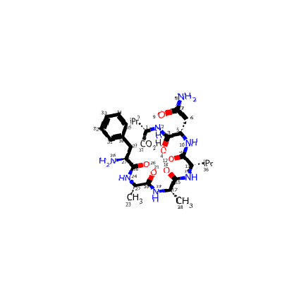 CC(C)[C@H](NC(=O)[C@H](CC(N)=O)NC(=O)[C@@H](NC(=O)[C@H](C)NC(=O)[C@H](C)NC(=O)[C@@H](N)Cc1ccccc1)C(C)C)C(=O)O